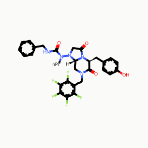 CCCN(C(=O)NCc1ccccc1)N1CC(=O)N2[C@@H](Cc3ccc(O)cc3)C(=O)N(Cc3c(F)c(F)c(F)c(F)c3F)C[C@@H]21